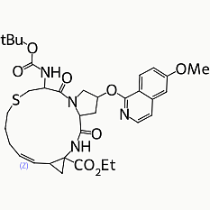 CCOC(=O)C12CC1/C=C\CCCSCC(NC(=O)OC(C)(C)C)C(=O)N1CC(Oc3nccc4cc(OC)ccc34)CC1C(=O)N2